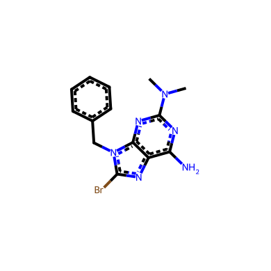 CN(C)c1nc(N)c2nc(Br)n(Cc3ccccc3)c2n1